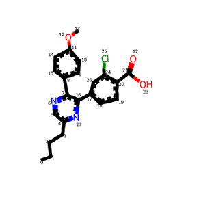 CCCCc1cnc(-c2ccc(OC)cc2)c(-c2ccc(C(=O)O)c(Cl)c2)n1